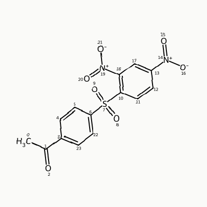 CC(=O)c1ccc(S(=O)(=O)c2ccc([N+](=O)[O-])cc2[N+](=O)[O-])cc1